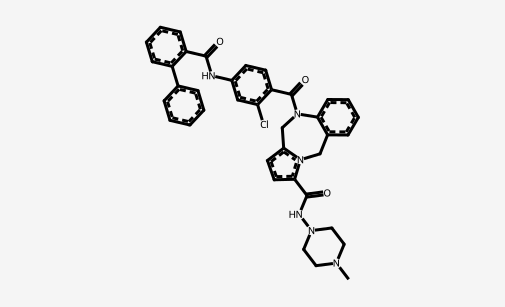 CN1CCN(NC(=O)c2ccc3n2Cc2ccccc2N(C(=O)c2ccc(NC(=O)c4ccccc4-c4ccccc4)cc2Cl)C3)CC1